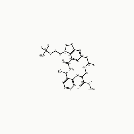 CCOc1ccccc1OC(CNC(C)Cc1cc2c(c(C(N)=O)c1)N(CCO[Si](C)(C)C(C)(C)C)CC2)C(=O)OC(C)(C)C